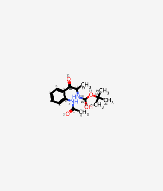 CC(=O)Nc1ccccc1C(=O)C(C)NC(O)OC(C)(C)C